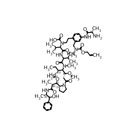 C=CCOC(=O)N(C)Cc1cc(NC(=O)[C@H](C)N)ccc1CCN(C(=O)O)C(C(=O)NC(C(=O)N(C)C([C@@H](C)CC)[C@@H](CC(=O)N1CCC[C@H]1[C@H](OC)[C@@H](C)C(=O)N[C@H](C)[C@@H](O)c1ccccc1)OC)C(C)C)C(C)C